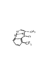 Cc1csc2nc3cccc(C(F)(F)F)c3c(=O)n12